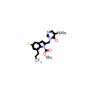 CNc1cncn(Cc2cc3cc(F)cc(CCC(F)(F)F)c3n2C(=O)OC(C)(C)C)c1=O